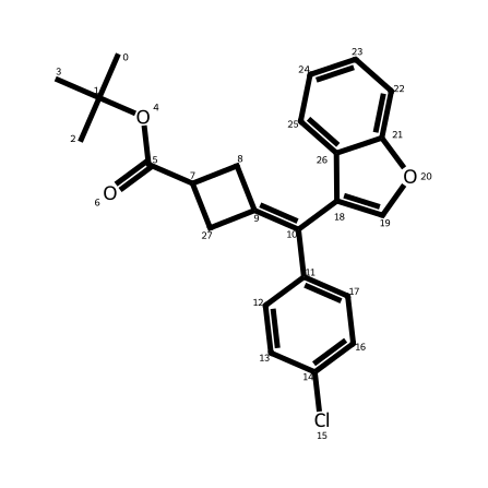 CC(C)(C)OC(=O)C1CC(=C(c2ccc(Cl)cc2)c2coc3ccccc23)C1